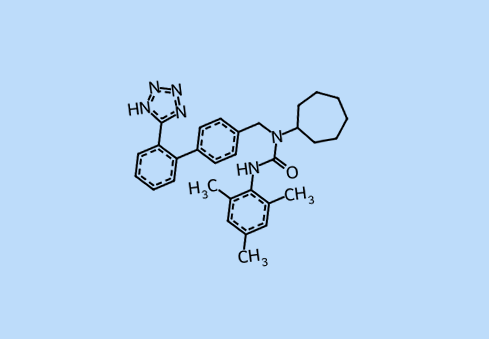 Cc1cc(C)c(NC(=O)N(Cc2ccc(-c3ccccc3-c3nnn[nH]3)cc2)C2CCCCCC2)c(C)c1